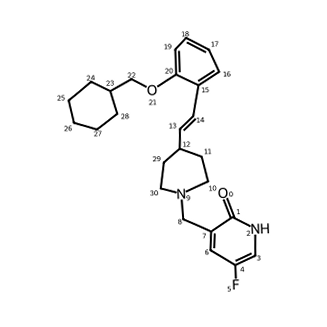 O=c1[nH]cc(F)cc1CN1CCC(C=Cc2ccccc2OCC2CCCCC2)CC1